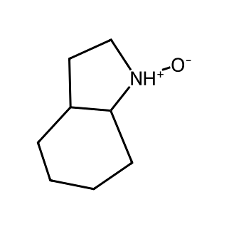 [O-][NH+]1CCC2CCCCC21